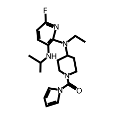 CCN(c1nc(F)ccc1NC(C)C)C1CCN(C(=O)n2cccc2)CC1